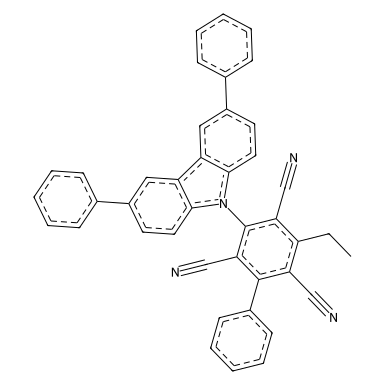 CCc1c(C#N)c(-c2ccccc2)c(C#N)c(-n2c3ccc(-c4ccccc4)cc3c3cc(-c4ccccc4)ccc32)c1C#N